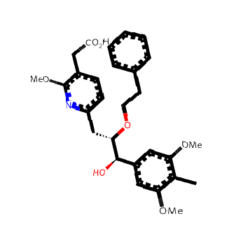 COc1cc([C@@H](O)[C@H](Cc2ccc(CC(=O)O)c(OC)n2)OCCc2ccccc2)cc(OC)c1C